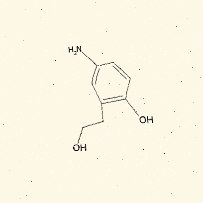 Nc1ccc(O)c(CCO)c1